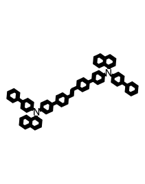 C(=C\c1ccc(-c2ccc(N(c3ccc(-c4ccccc4)cc3)c3cccc4ccccc34)cc2)cc1)/c1ccc(-c2ccc(N(c3ccc(-c4ccccc4)cc3)c3cccc4ccccc34)cc2)cc1